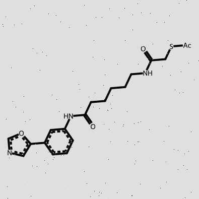 CC(=O)SCC(=O)NCCCCCC(=O)Nc1cccc(-c2cnco2)c1